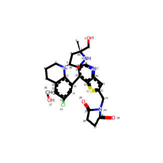 C[C@]1(CO)C[C@@H](N2CCCc3cc(Cl)cc(-c4ccnc5cc(CN6C(=O)CCC6=O)sc45)c32)CN1.O=CO